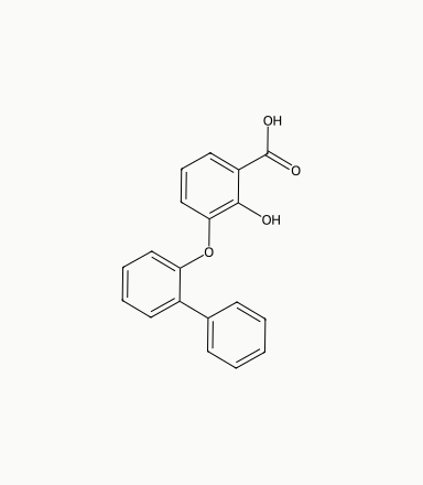 O=C(O)c1cccc(Oc2ccccc2-c2ccccc2)c1O